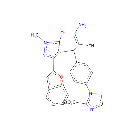 CCOC(=O)c1nccn1-c1ccc(C2C(C#N)=C(N)Oc3c2c(-c2cc4ccccc4o2)nn3C)cc1